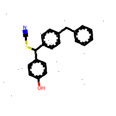 N#CSC(c1ccc(O)cc1)c1ccc(Cc2ccccc2)cc1